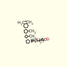 C1CCCC1.C[O].[CH2]C1CC1.[CH2]C1CCC1.[CH2]C1CCCC1.[CH2]CC.[CH2]CC1CC1.[CH]1CCCCC1